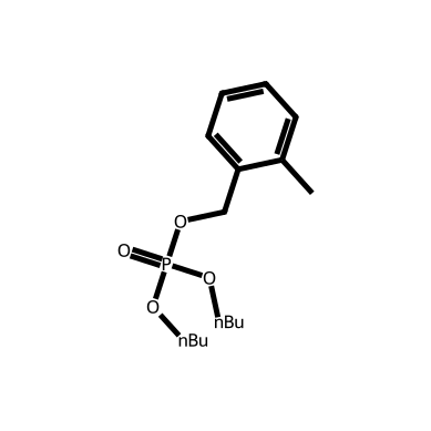 CCCCOP(=O)(OCCCC)OCc1ccccc1C